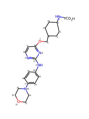 O=C(O)NC1CCC(COc2ccnc(Nc3ccc(N4CCOCC4)cc3)n2)CC1